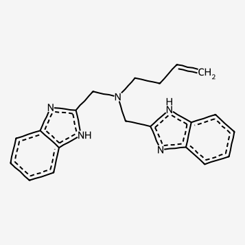 C=CCCN(Cc1nc2ccccc2[nH]1)Cc1nc2ccccc2[nH]1